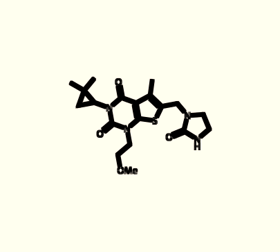 COCCn1c(=O)n(C2CC2(C)C)c(=O)c2c(C)c(CN3CCNC3=O)sc21